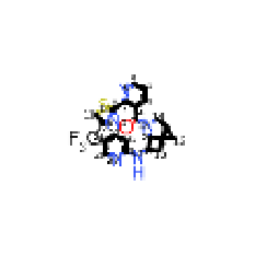 O=C(c1cccnc1-c1nccs1)N1CC2CC23CC(Nc2ccc(C(F)(F)F)cn2)C13